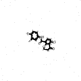 O=C(Nc1ccc(F)c(F)c1)c1ccc(Cl)c2c1OCCC2=O